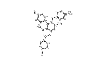 CC(C)c1cc(COc2ccc(F)cc2)c(CO)c(-c2ccc(F)cc2)c1Cc1ccc(C(F)(F)F)cc1